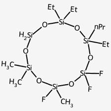 CCC[Si]1(CC)O[Si](F)(F)O[Si](C)(F)O[Si](C)(C)O[SiH2]O[Si](CC)(CC)O1